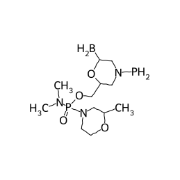 BC1CN(P)CC(COP(=O)(N(C)C)N2CCOC(C)C2)O1